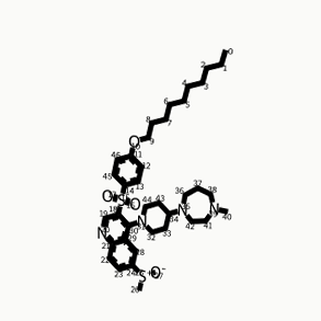 CCCCCCCCCCOc1ccc(S(=O)(=O)c2cnc3ccc([S+](C)[O-])cc3c2N2CCC(N3CCCN(C)CC3)CC2)cc1